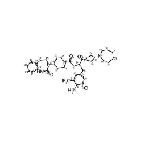 Nc1c(Cl)cc(C[C@@H](CC(=O)N2CCC(N3CCc4ccccc4NC3=O)CC2)C(=O)N2CC(N3CCCCCC3)C2)cc1C(F)(F)F